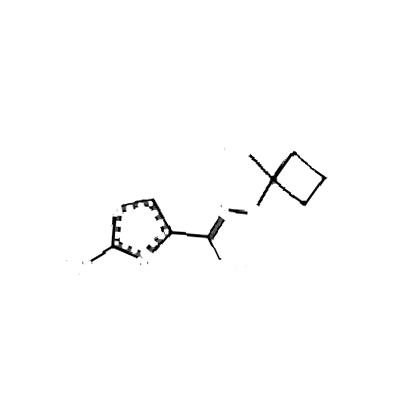 Nc1nc(C([C]=O)=NOC2(C(=O)O)CCC2)cs1